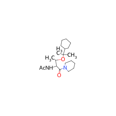 CC(=O)NC(C(=O)N1CCCCC1)C(C)OC(C)(C)C1CCCCC1